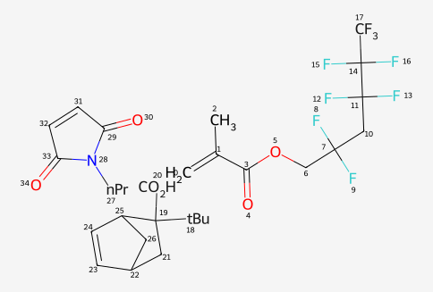 C=C(C)C(=O)OCC(F)(F)CC(F)(F)C(F)(F)C(F)(F)F.CC(C)(C)C1(C(=O)O)CC2C=CC1C2.CCCN1C(=O)C=CC1=O